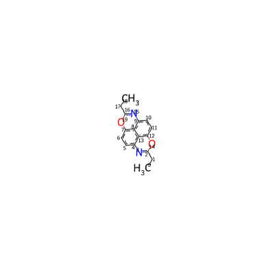 CCC1=Nc2ccc3c4c(ccc(c24)O1)N=C(CC)O3